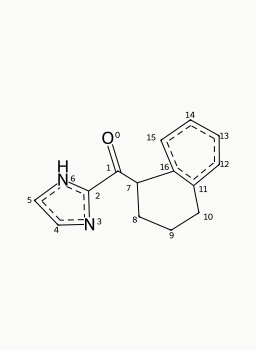 O=C(c1ncc[nH]1)C1CCCc2ccccc21